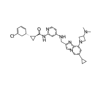 CN(C)C1CN(c2cc(C3CC3)cn3cc(CNc4ccnc(NC(=O)[C@H]5C[C@@H]5C5C=CC=C(Cl)C5)c4)nc23)C1